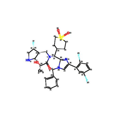 C[C@H](O)C(=O)N(C[C@@H]1CNC[C@@H]1F)[C@@H](c1nc(-c2cc(F)ccc2F)cn1Cc1ccccc1)C1CCS(=O)(=O)CC1